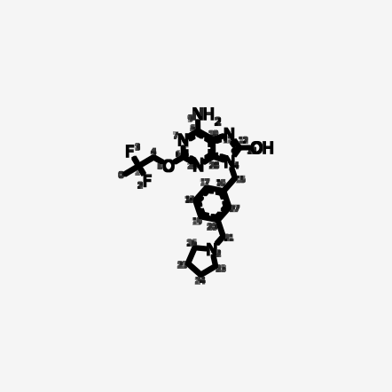 CC(F)(F)COc1nc(N)c2nc(O)n(Cc3cccc(CN4CCCC4)c3)c2n1